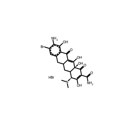 Br.CN(C)[C@@H]1C(O)=C(C(N)=O)C(=O)[C@@]2(O)C(O)=C3C(=O)c4c(cc(Br)c(N)c4O)CC3CC12